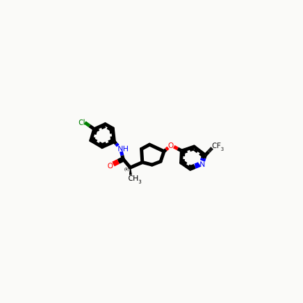 C[C@@H](C(=O)Nc1ccc(Cl)cc1)C1CCC(Oc2ccnc(C(F)(F)F)c2)CC1